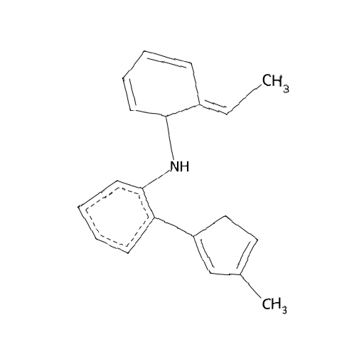 CC=C1C=CC=CC1Nc1ccccc1C1=CC(C)=CC1